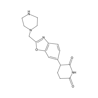 O=C1CCC(c2ccc3nc(CN4CCNCC4)oc3c2)C(=O)N1